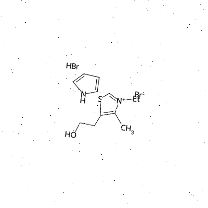 Br.CC[n+]1csc(CCO)c1C.[Br-].c1cc[nH]c1